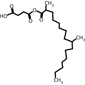 CCCCCCCC(C)CCCCCCC(C)C(=O)OC(=O)CCC(=O)O